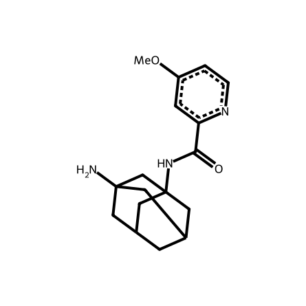 COc1ccnc(C(=O)NC23CC4CC(CC(N)(C4)C2)C3)c1